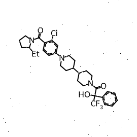 CCC1CCCN1C(=O)c1ccc(N2CCC(C3CCN(C(=O)C(O)(c4ccccc4)C(F)(F)F)CC3)CC2)cc1Cl